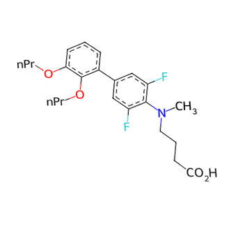 CCCOc1cccc(-c2cc(F)c(N(C)CCCC(=O)O)c(F)c2)c1OCCC